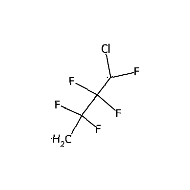 [CH2]C(F)(F)C(F)(F)[C](F)Cl